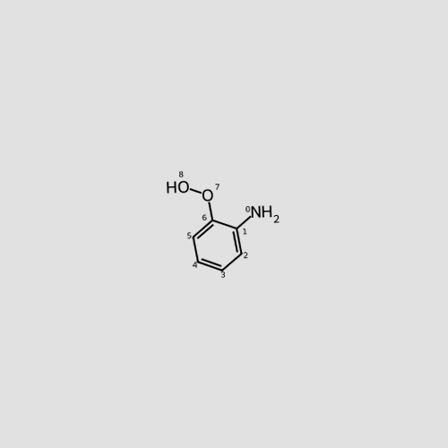 Nc1ccccc1OO